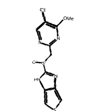 COc1nc(C[S+]([O-])c2nc3cscc3[nH]2)ncc1Cl